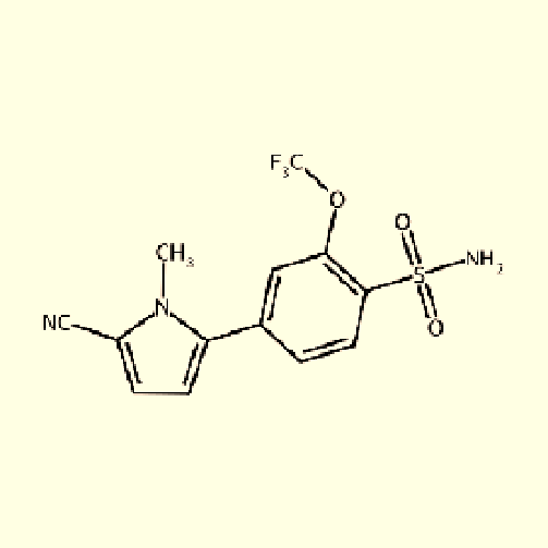 Cn1c(C#N)ccc1-c1ccc(S(N)(=O)=O)c(OC(F)(F)F)c1